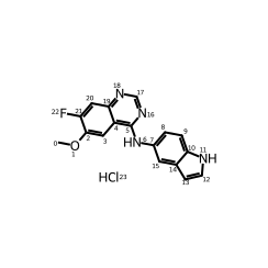 COc1cc2c(Nc3ccc4[nH]ccc4c3)ncnc2cc1F.Cl